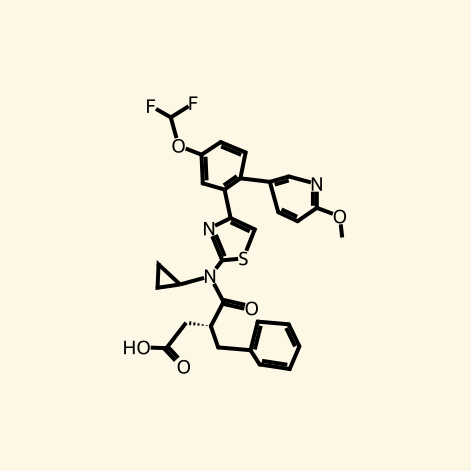 COc1ccc(-c2ccc(OC(F)F)cc2-c2csc(N(C(=O)[C@@H](CC(=O)O)Cc3ccccc3)C3CC3)n2)cn1